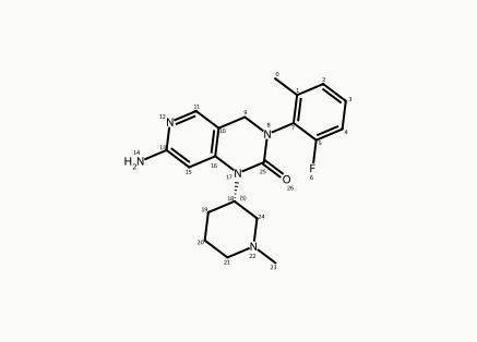 Cc1cccc(F)c1N1Cc2cnc(N)cc2N([C@H]2CCCN(C)C2)C1=O